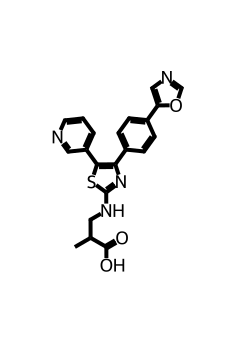 CC(CNc1nc(-c2ccc(-c3cnco3)cc2)c(-c2cccnc2)s1)C(=O)O